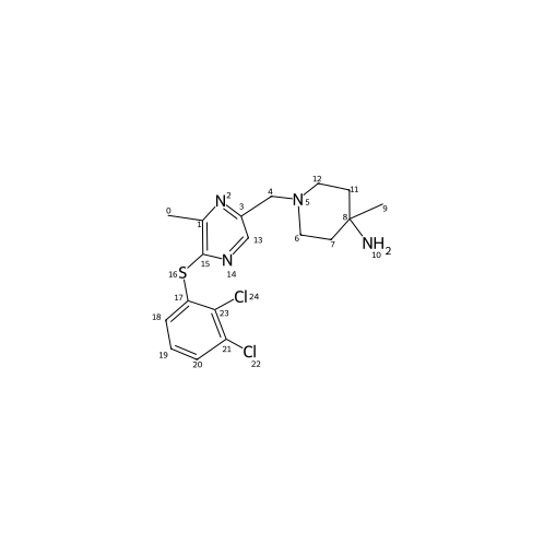 Cc1nc(CN2CCC(C)(N)CC2)cnc1Sc1cccc(Cl)c1Cl